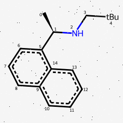 C[C@@H](NCC(C)(C)C)c1cccc2ccccc12